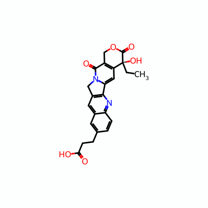 CC[C@@]1(O)C(=O)OCc2c1cc1n(c2=O)Cc2cc3cc(CCC(=O)O)ccc3nc2-1